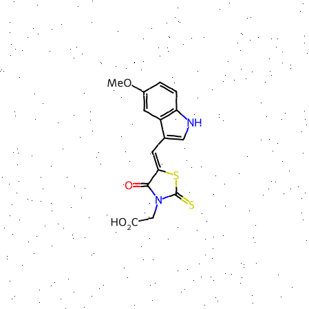 COc1ccc2[nH]cc(C=C3SC(=S)N(CC(=O)O)C3=O)c2c1